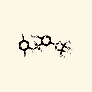 COc1ncc(B2OC(C)(C)C(C)(C)O2)cc1S(=O)(=O)Nc1cc(F)ccc1F